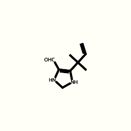 C=CC(C)(C)C1=C(C=O)NCN1